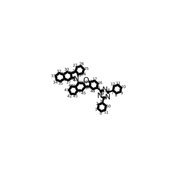 c1ccc(-c2nc(-c3ccccc3)nc(-c3ccc4oc5c(-n6c7ccccc7c7cc8ccccc8cc76)c6ccccc6cc5c4c3)n2)cc1